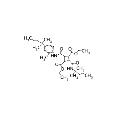 CCCC(C)(C)NC(=O)C1C(C(=O)OCC)C(C(=O)Nc2ccc(C(C)(C)CCC)cc2C)C1C(=O)OCC